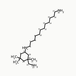 CC1(C)CC(NCCCCCCCCCCCCN)CC(C)(CN)C1